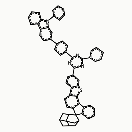 c1ccc(-c2nc(-c3ccc(-c4ccc5c6ccccc6n(-c6ccccc6)c5c4)cc3)nc(-c3ccc4c(c3)sc3c5c(ccc34)C3(c4ccccc4-5)C4CC5CC(C4)CC3C5)n2)cc1